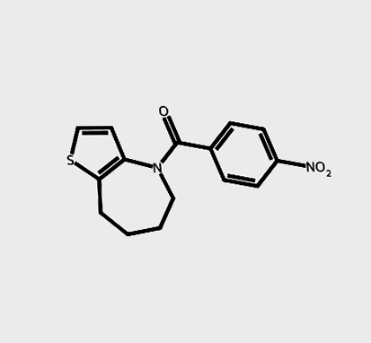 O=C(c1ccc([N+](=O)[O-])cc1)N1CCCCc2sccc21